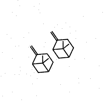 C=C1CCC2CC1C2(C)C.C=C1CCC2CC1C2(C)C